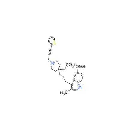 COc1ccc2ncc(C)c(CCCC3(CC(=O)O)CCN(CC#Cc4cccs4)CC3)c2c1